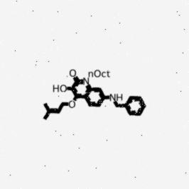 CCCCCCCCn1c(=O)c(O)c(OCC=C(C)C)c2ccc(NCc3ccccc3)cc21